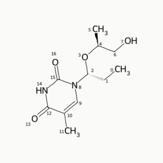 CC[C@@H](O[C@@H](C)CO)n1cc(C)c(=O)[nH]c1=O